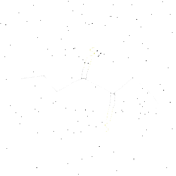 CCCC(=S)C(=S)CC